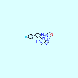 CC(Nc1nc(N2CCOCC2)nc2ccc(-c3ccc(F)cc3)cc12)c1cn(C)cn1